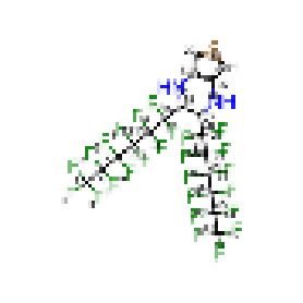 FC(F)(F)C(F)(F)C(F)(F)C(F)(F)C(F)(F)C(F)(F)C1Nc2cscc2NC1C(F)(F)C(F)(F)C(F)(F)C(F)(F)C(F)(F)C(F)(F)F